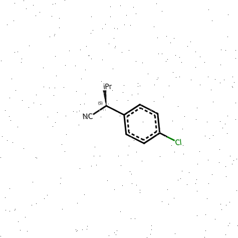 CC(C)[C@H](C#N)c1ccc(Cl)cc1